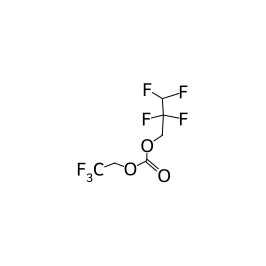 O=C(OCC(F)(F)F)OCC(F)(F)C(F)F